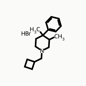 Br.CC1CN(CC2CCC2)CCC1(C)c1ccccc1